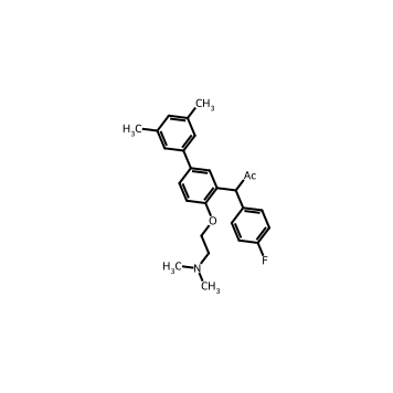 CC(=O)C(c1ccc(F)cc1)c1cc(-c2cc(C)cc(C)c2)ccc1OCCN(C)C